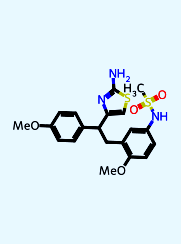 COc1ccc(C(Cc2cc(NS(C)(=O)=O)ccc2OC)c2csc(N)n2)cc1